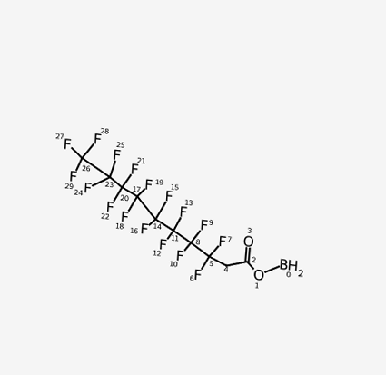 BOC(=O)CC(F)(F)C(F)(F)C(F)(F)C(F)(F)C(F)(F)C(F)(F)C(F)(F)C(F)(F)F